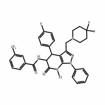 CCN1C(=O)C(NC(=O)c2cccc(C(F)(F)F)c2)C(c2ccc(F)cc2)c2c(CN3CCC(F)(F)CC3)nn(-c3ccccc3)c21